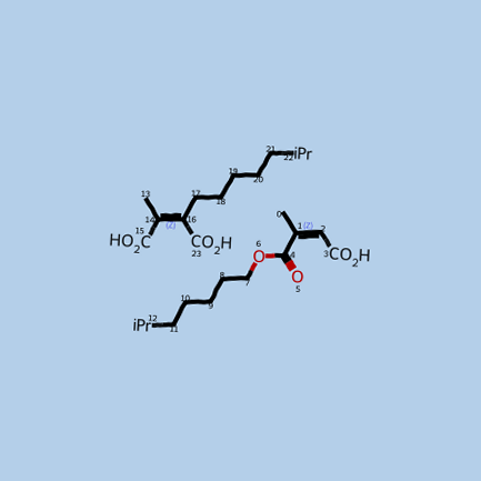 C/C(=C/C(=O)O)C(=O)OCCCCCC(C)C.C/C(C(=O)O)=C(\CCCCCC(C)C)C(=O)O